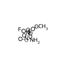 CCOc1ccc(S(=O)(=O)N(CC(=O)N2C(C(N)=O)CCC2c2ccccc2)c2ccc(F)cc2)cc1